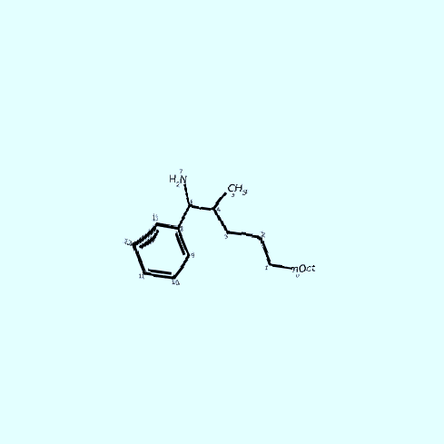 CCCCCCCCCCCC(C)C(N)c1ccccc1